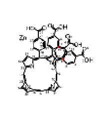 O=C(O)c1ccc(-c2c(-c3ccc(C(=O)O)cc3)c3c(-c4ccc(C(=O)O)cc4)c4nc(cc5ccc(cc6nc(cc2n3-c2ccc(C(=O)O)cc2)C=C6)[nH]5)C=C4)cc1.[Zn]